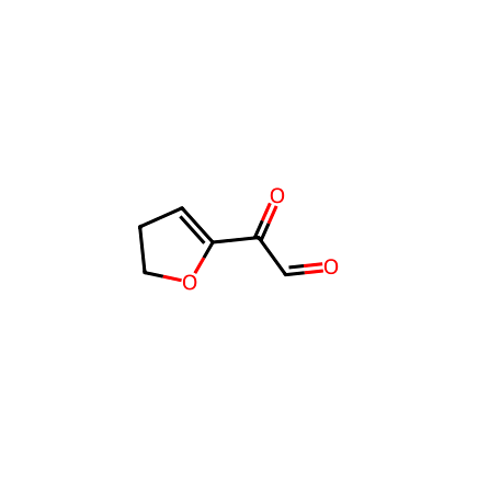 O=CC(=O)C1=CCCO1